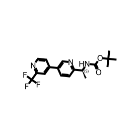 C[C@H](NC(=O)OC(C)(C)C)c1ccc(-c2ccnc(C(F)(F)F)c2)cn1